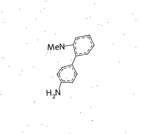 CNc1ccccc1-c1ccc(N)cc1